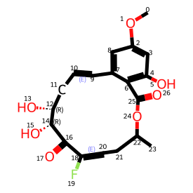 COc1cc(O)c2c(c1)/C=C/C[C@@H](O)[C@@H](O)C(=O)/C(F)=C\CC(C)OC2=O